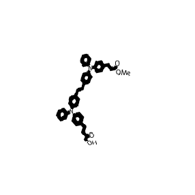 COC(=O)CCc1ccc(N(c2ccccc2)c2ccc(CCc3ccc(N(c4ccccc4)c4ccc(CCC(=O)CO)cc4)cc3)cc2)cc1